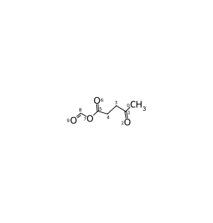 CC(=O)CCC(=O)OC=O